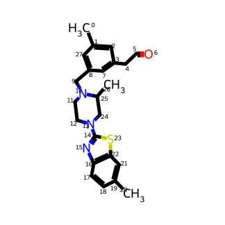 Cc1cc(CC=O)cc(CN2CCN(c3nc4ccc(C)cc4s3)CC2C)c1